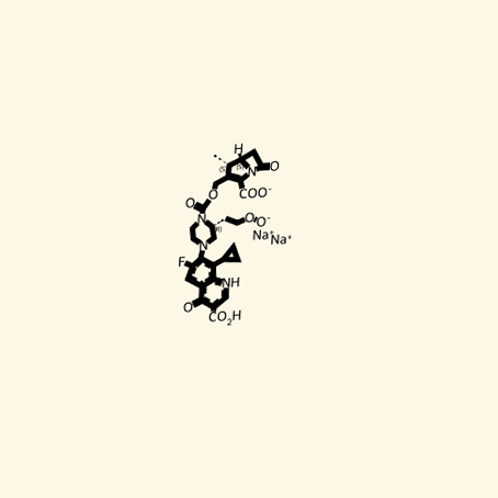 C[C@H]1C(COC(=O)N2CCN(c3c(F)cc4c(=O)c(C(=O)O)c[nH]c4c3C3CC3)C[C@H]2CCO[O-])=C(C(=O)[O-])N2C(=O)C[C@@H]12.[Na+].[Na+]